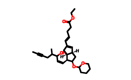 CC#CCC(C)C(O)/C=C\[C@H]1[C@H]2CC(C=CCCC(=O)OCC)=C[C@H]2C[C@H]1OC1CCCCO1